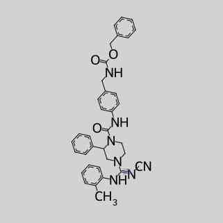 Cc1ccccc1N/C(=N/C#N)N1CCN(C(=O)Nc2ccc(CNC(=O)OCc3ccccc3)cc2)C(c2ccccc2)C1